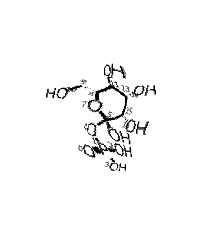 O=P(O)(O)O[C@]1(O)O[C@H](CO)[C@@H](O)[C@H](O)[C@@H]1O